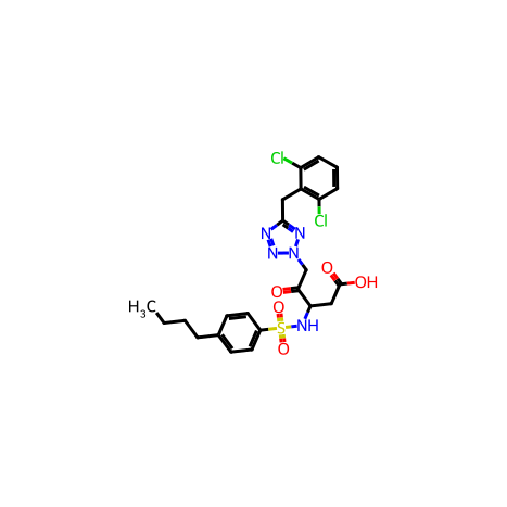 CCCCc1ccc(S(=O)(=O)NC(CC(=O)O)C(=O)Cn2nnc(Cc3c(Cl)cccc3Cl)n2)cc1